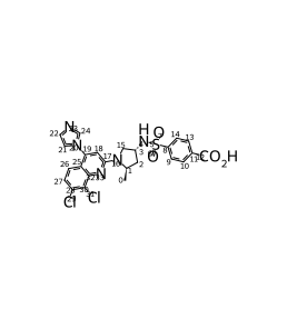 C[C@@H]1C[C@@H](NS(=O)(=O)c2ccc(C(=O)O)cc2)CN1c1cc(-n2ccnc2)c2ccc(Cl)c(Cl)c2n1